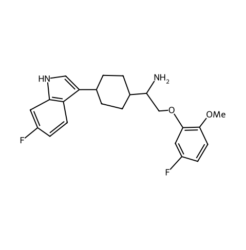 COc1ccc(F)cc1OCC(N)C1CCC(c2c[nH]c3cc(F)ccc23)CC1